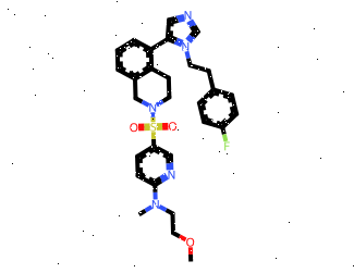 COCCN(C)c1ccc(S(=O)(=O)N2CCc3c(cccc3-c3cncn3CCc3ccc(F)cc3)C2)cn1